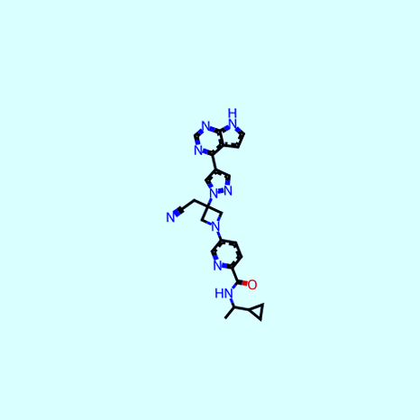 CC(NC(=O)c1ccc(N2CC(CC#N)(n3cc(-c4ncnc5[nH]ccc45)cn3)C2)cn1)C1CC1